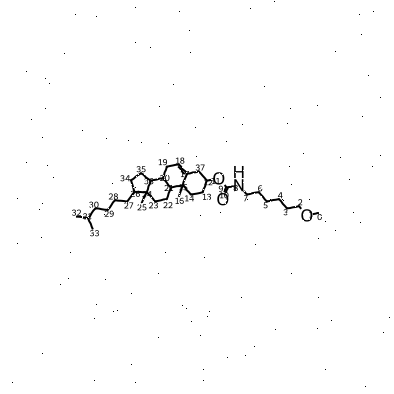 COCCCCCCNC(=O)OC1CCC2(C)C(=CCC3C2CCC2(C)C(CCCCC(C)C)CCC32)C1